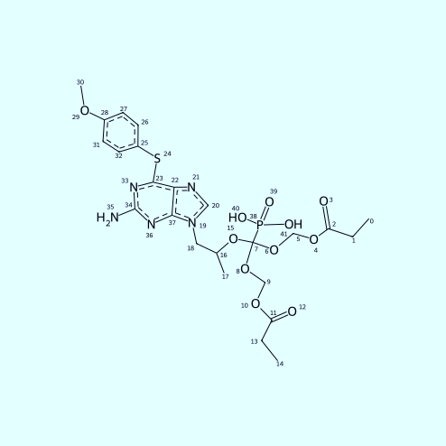 CCC(=O)OCOC(OCOC(=O)CC)(OC(C)Cn1cnc2c(Sc3ccc(OC)cc3)nc(N)nc21)P(=O)(O)O